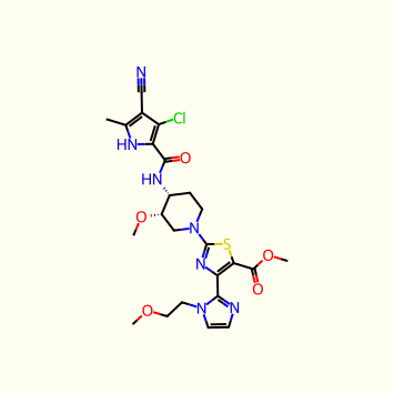 COCCn1ccnc1-c1nc(N2CC[C@@H](NC(=O)c3[nH]c(C)c(C#N)c3Cl)[C@@H](OC)C2)sc1C(=O)OC